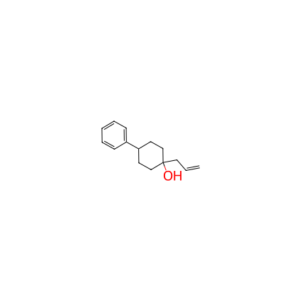 C=CCC1(O)CCC(c2ccccc2)CC1